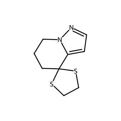 c1cc2n(n1)CCCC21SCCS1